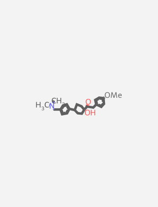 COc1ccc(CC(=O)C2(O)CCC(c3ccc(CN(C)C)cc3)CC2)cc1